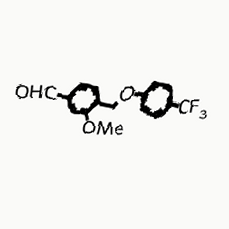 COc1cc(C=O)ccc1COc1ccc(C(F)(F)F)cc1